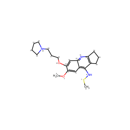 COc1cc2c(NSC)c3c(nc2cc1OCCCN1CCCC1)CCC3